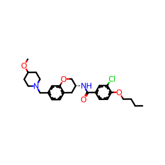 CCCCOc1ccc(C(=O)N[C@H]2COc3cc(CN4CCC(OC)CC4)ccc3C2)cc1Cl